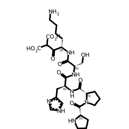 NCCCC[C@H](NC(=O)[C@H](CO)NC(=O)[C@H](Cc1c[nH]cn1)NC(=O)[C@@H]1CCCN1C(=O)[C@@H]1CCCN1)C(=O)[C](C(=O)O)C(=O)O